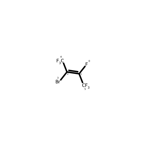 F/C(=C(/Br)C(F)(F)F)C(F)(F)F